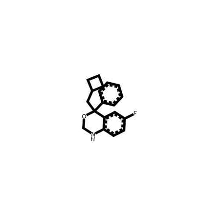 Fc1ccc2c(c1)C(CC1CCC1)(c1ccccc1)OCN2